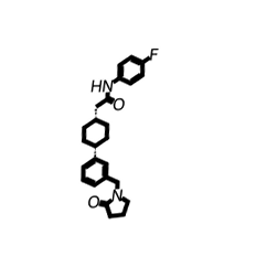 O=C(C[C@H]1CC[C@@H](c2cccc(CN3CCCC3=O)c2)CC1)Nc1ccc(F)cc1